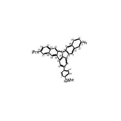 COc1ccc(-c2cc3c4cc5cc(C(C)C)ccc5cc4n4c5cc6ccc(C(C)C)cc6cc5c(c2)c34)cc1